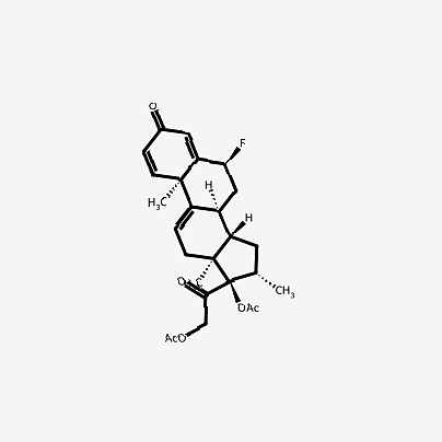 CC(=O)OCC(=O)[C@@]1(OC(C)=O)[C@@H](C)C[C@H]2[C@@H]3C[C@H](F)C4=CC(=O)C=C[C@]4(C)C3=CC[C@@]21C